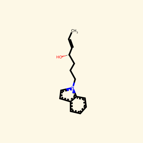 C/C=C/[C@@H](O)CCCn1ccc2ccccc21